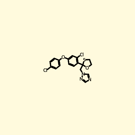 Clc1ccc(Oc2ccc(C3(Cn4cncn4)OCCS3)c(Cl)c2)cc1